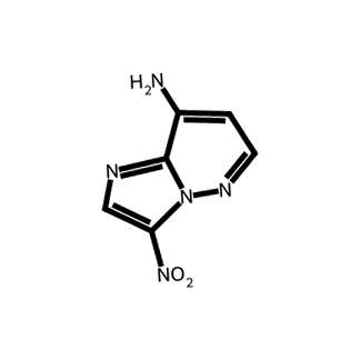 Nc1ccnn2c([N+](=O)[O-])cnc12